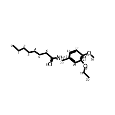 CCCCCCCC(=O)NCc1ccc(OC)c(OCC)c1